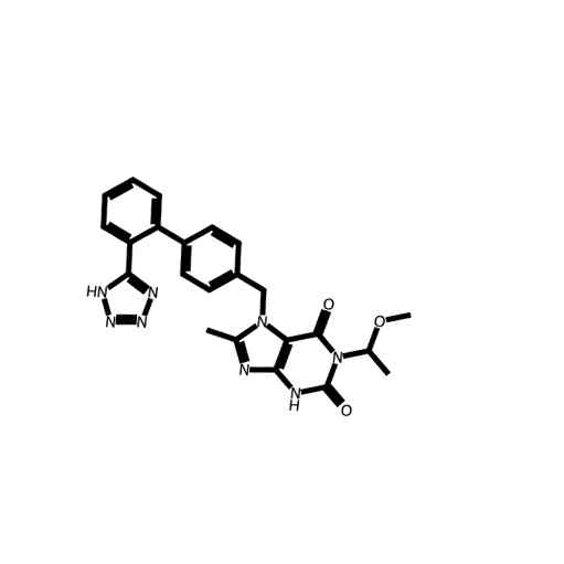 COC(C)n1c(=O)[nH]c2nc(C)n(Cc3ccc(-c4ccccc4-c4nnn[nH]4)cc3)c2c1=O